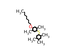 CCCCCCCCOc1cc(C)c(Sc2cc(C)c(C)cc2C)cc1C